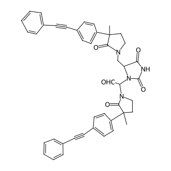 CC1(c2ccc(C#Cc3ccccc3)cc2)CCN(CC2C(=O)NC(=O)N2C(C=O)N2CCC(C)(c3ccc(C#Cc4ccccc4)cc3)C2=O)C1=O